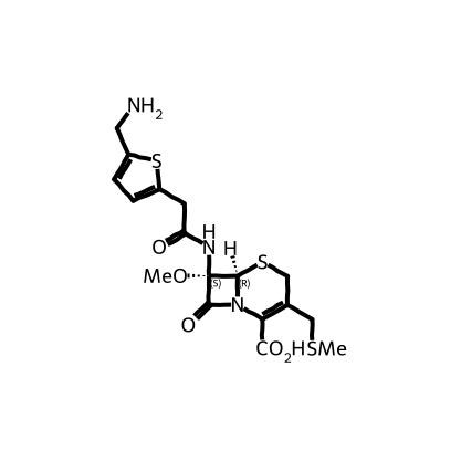 CO[C@@]1(NC(=O)Cc2ccc(CN)s2)C(=O)N2C(C(=O)O)=C(CSC)CS[C@@H]21